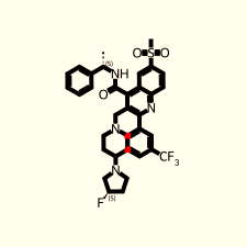 C[C@H](NC(=O)c1c(CN2CCC(N3CC[C@H](F)C3)CC2)c(-c2cccc(C(F)(F)F)c2)nc2ccc(S(C)(=O)=O)cc12)c1ccccc1